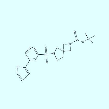 CC(C)(C)OC(=O)N1CC2(CCN(S(=O)(=O)c3cccc(-c4cccs4)c3)C2)C1